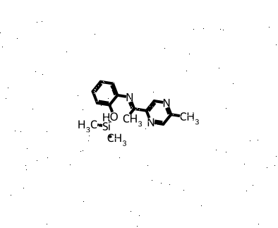 CC(=Nc1ccccc1O[SiH](C)C)c1cnc(C)cn1